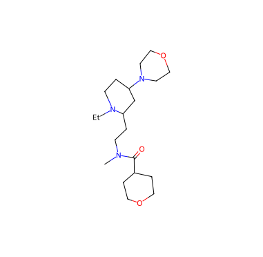 CCN1CCC(N2CCOCC2)CC1CCN(C)C(=O)C1CCOCC1